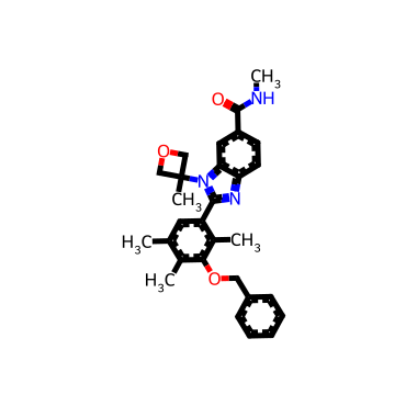 CNC(=O)c1ccc2nc(-c3cc(C)c(C)c(OCc4ccccc4)c3C)n(C3(C)COC3)c2c1